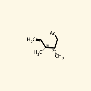 C=C[C@@H](C)[C@@H](C)CC(C)=O